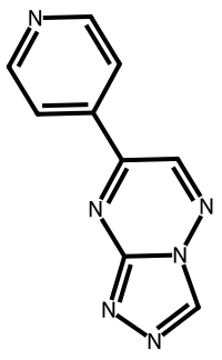 c1cc(-c2cnn3cnnc3n2)ccn1